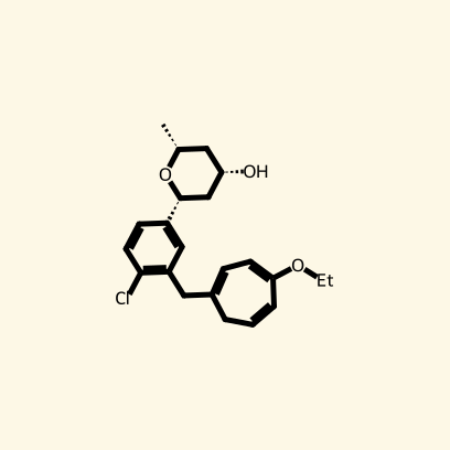 CCOC1=CC=C(Cc2cc([C@H]3C[C@@H](O)C[C@@H](C)O3)ccc2Cl)CC=C1